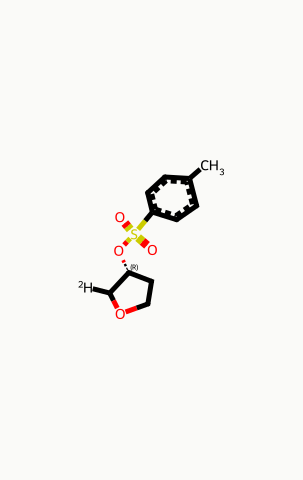 [2H]C1OCC[C@H]1OS(=O)(=O)c1ccc(C)cc1